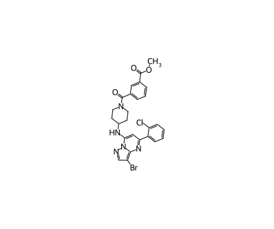 COC(=O)c1cccc(C(=O)N2CCC(Nc3cc(-c4ccccc4Cl)nc4c(Br)cnn34)CC2)c1